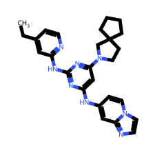 CCc1ccnc(Nc2nc(Nc3ccn4ccnc4c3)cc(N3CCC4(CCCC4)C3)n2)c1